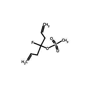 C=CCC(F)(CC=C)OS(C)(=O)=O